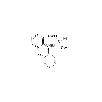 CC[Si](OC)(OC)OC.c1ccc2cc3ccccc3cc2c1